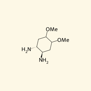 COC1C[C@@H](N)[C@H](N)CC1OC